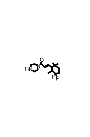 CC1=C(/C=C/C(=O)N2CCNCC2)C(C)(C)CCC1(F)F